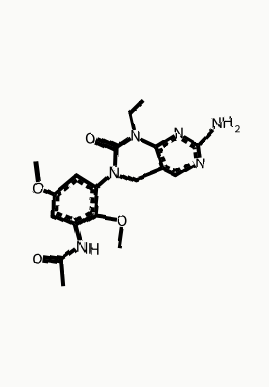 CCN1C(=O)N(c2cc(OC)cc(NC(C)=O)c2OC)Cc2cnc(N)nc21